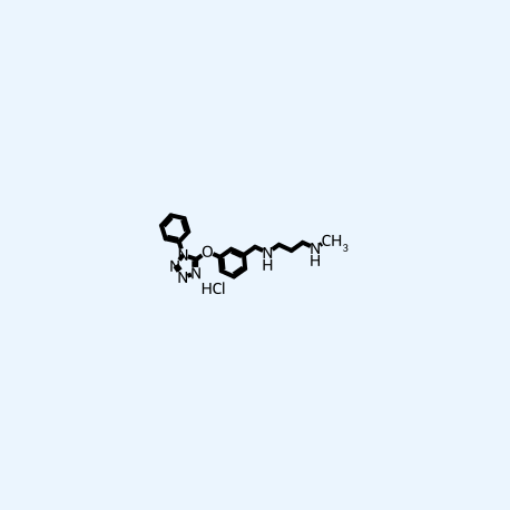 CNCCCNCc1cccc(Oc2nnnn2-c2ccccc2)c1.Cl